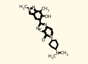 Cc1c(O)c(-c2ncc3c(=O)n([C@H]4CC[C@@H](N(C)C)CC4)ccc3n2)cc2cn(C)nc12